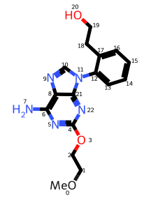 COCCOc1nc(N)c2ncn(-c3ccccc3CCO)c2n1